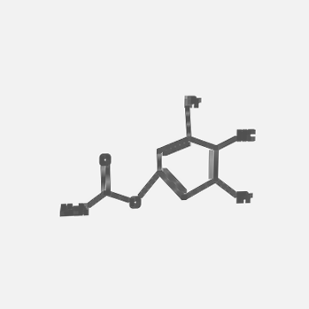 [C-]#[N+]c1c(C(C)C)cc(OC(=O)NC)cc1C(C)C